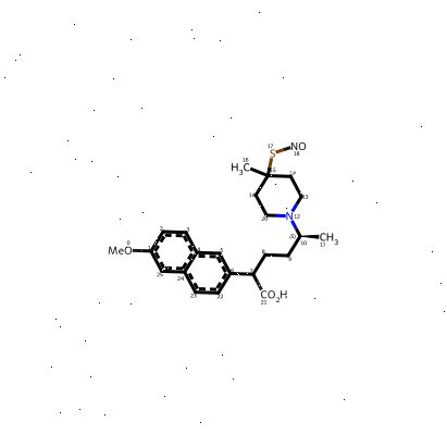 COc1ccc2cc(C(CC[C@H](C)N3CCC(C)(SN=O)CC3)C(=O)O)ccc2c1